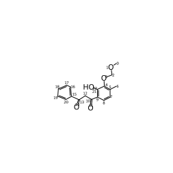 COCOc1c(C)ccc(C(=O)CC(=O)c2ccccc2)c1O